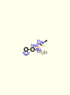 C#Cc1nc(NC(=O)Nc2cc(-c3cccc4nccnc34)ccc2NC(=O)OCC)cs1